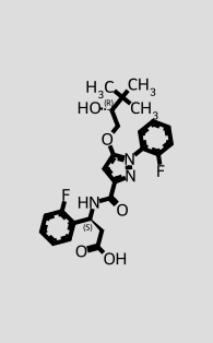 CC(C)(C)[C@@H](O)COc1cc(C(=O)N[C@@H](CC(=O)O)c2ccccc2F)nn1-c1ccccc1F